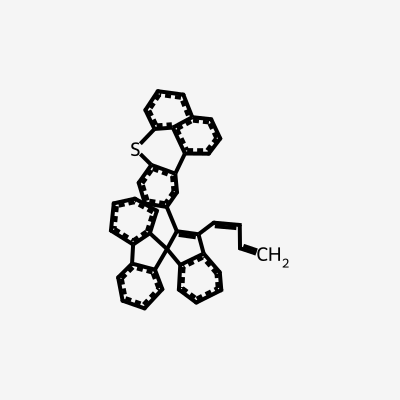 C=C/C=C\C1=C(c2ccc3c(c2)-c2cccc4cccc(c24)S3)C2(c3ccccc31)c1ccccc1-c1ccccc12